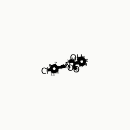 O=C1ON(C#Cc2ccc(Cl)cc2)C=C(O)C1c1ccccc1